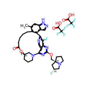 Cc1cc2[nH]ncc2c2c1CCCCC(=O)O[C@@H]1CCCN(C1)c1nc(OC[C@@]34CCCN3C[C@H](F)C4)nc3c(F)c-2ncc13.O=C(O)C(F)(F)F.O=C(O)C(F)(F)F